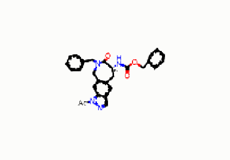 CC(=O)n1ncc2cc3c(cc21)CN(Cc1ccccc1)C(=O)[C@H](NC(=O)OCc1ccccc1)C3